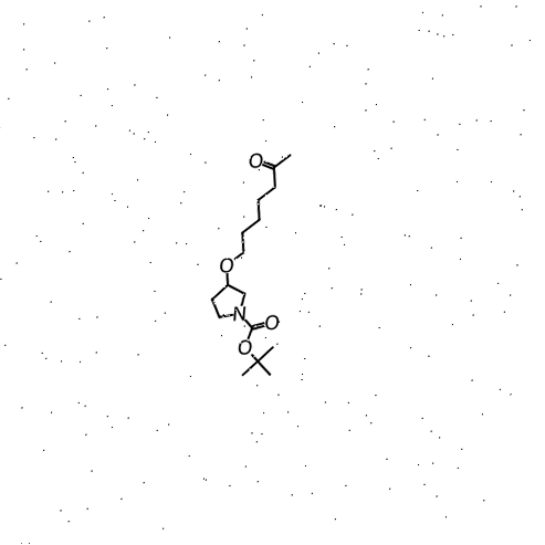 CC(=O)CCCCCOC1CCN(C(=O)OC(C)(C)C)C1